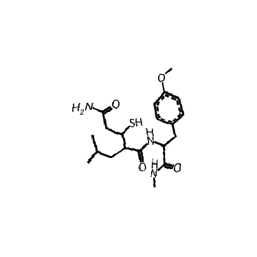 CNC(=O)C(Cc1ccc(OC)cc1)NC(=O)C(CC(C)C)C(S)CC(N)=O